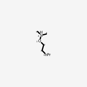 CCCC[CH]O[SiH](C)C